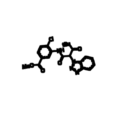 COC(=O)c1ccc(Cl)c(NC(=O)C(C(=O)C(C)(C)C)n2nnc3ccccc32)c1